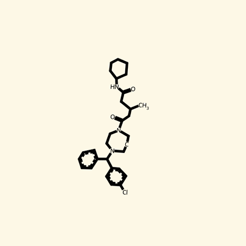 CC(CC(=O)NC1CCCCC1)CC(=O)N1CCCN(C(c2ccccc2)c2ccc(Cl)cc2)CC1